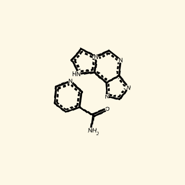 NC(=O)c1cccnc1.c1nc2ncn3cc[nH]c3c-2n1